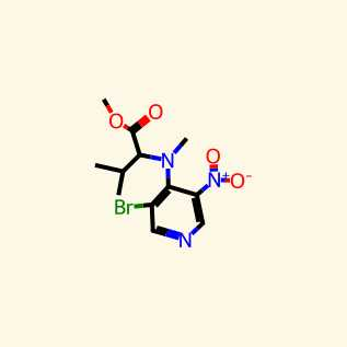 COC(=O)C(C(C)C)N(C)c1c(Br)cncc1[N+](=O)[O-]